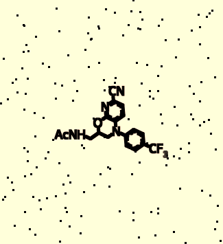 CC(=O)NCC1CN(c2ccc(C(F)(F)F)cc2)c2ccc(C#N)nc2O1